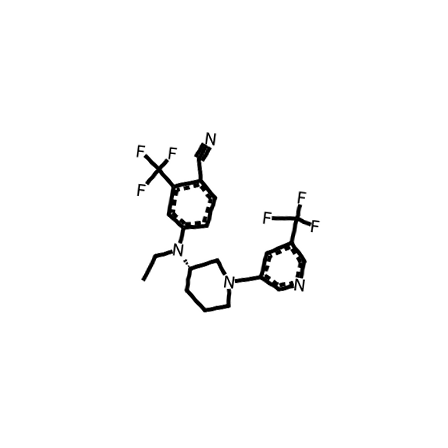 CCN(c1ccc(C#N)c(C(F)(F)F)c1)[C@H]1CCCN(c2cncc(C(F)(F)F)c2)C1